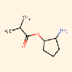 CC(C)C(=O)OC1CCCC1N